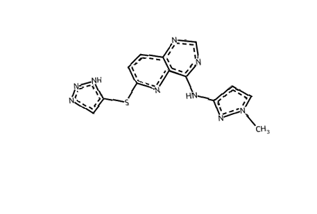 Cn1ccc(Nc2ncnc3ccc(Sc4cnn[nH]4)nc23)n1